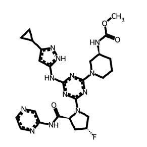 COC(=O)N[C@H]1CCCN(c2nc(Nc3cc(C4CC4)n[nH]3)nc(N3C[C@H](F)C[C@H]3C(=O)Nc3cnccn3)n2)C1